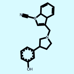 N#CB1C=C(CN2CCC(c3cccc(O)c3)C2)C2C=CC=CC12